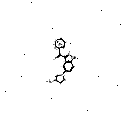 CO[C@@H]1CCN(c2ccc3[nH]nc(C(=O)N4CCN5CCC4CC5)c3c2)C1